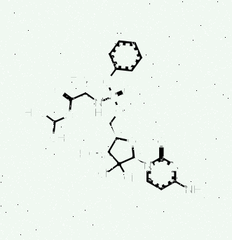 CC(C)OC(=O)[C@H](C)NP(=O)(OC[C@H]1O[C@@H](n2ccc(N)nc2=O)C(Cl)(Cl)[C@@H]1O)Oc1ccccc1